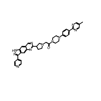 Cc1cnc(-c2ccc(N3CCN(C(=O)CN4CCC(c5ncc6cc7[nH]nc(-c8ccncc8)c7cc6n5)C4)CC3)cc2)nc1